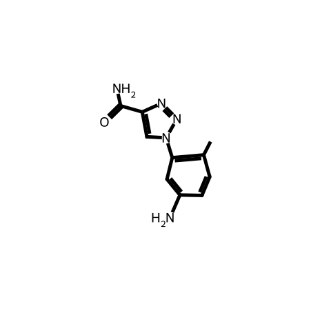 Cc1ccc(N)cc1-n1cc(C(N)=O)nn1